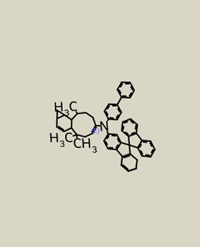 CC1CC/C(N(c2ccc(-c3ccccc3)cc2)c2ccc3c(c2)C2(C4=C3C=CCC4)c3ccccc3-c3ccccc32)=C\CC(C)(C)C2C=CC3CC3C12